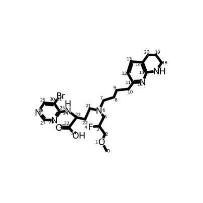 COCC(F)CN(CCCCc1ccc2c(n1)NCCC2)CCC(Nc1ncncc1Br)C(=O)O